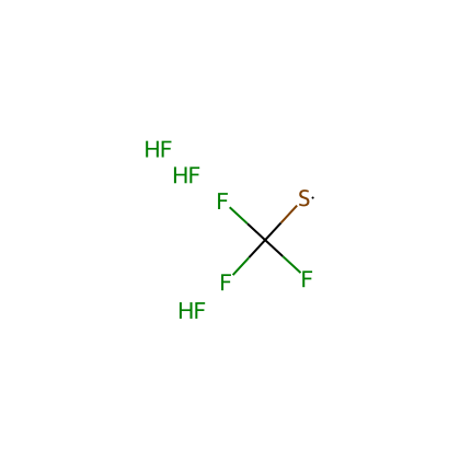 F.F.F.FC(F)(F)[S]